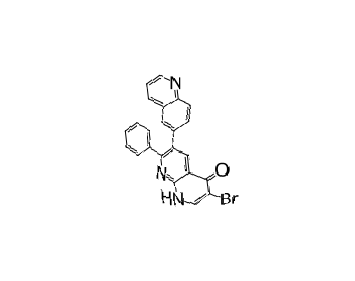 O=c1c(Br)c[nH]c2nc(-c3ccccc3)c(-c3ccc4ncccc4c3)cc12